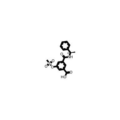 C[C@@H](NC(=O)c1cc(OS(C)(=O)=O)cc(C(=O)O)c1)c1ccccc1